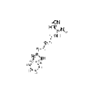 C/N=C(/NC#N)NCCSCCc1nc2ccccc2[nH]1